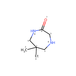 CCC1(C)CNCC(=O)NC1